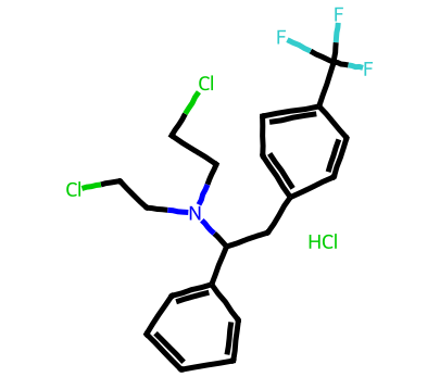 Cl.FC(F)(F)c1ccc(CC(c2ccccc2)N(CCCl)CCCl)cc1